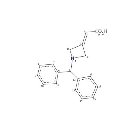 O=C(O)C=C1CN(C(c2ccccc2)c2ccccc2)C1